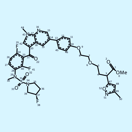 COC(=O)C(CCOCCOc1ccc(-c2cnc3c(c2)c(C(=O)c2c(F)ccc(N(C)S(=O)(=O)N4CC[C@@H](F)C4)c2F)cn3C)cc1)c1cc(C)no1